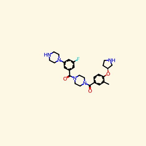 Cc1cc(C(=O)N2CCN(C(=O)c3cc(F)cc(N4CCNCC4)c3)CC2)ccc1O[C@H]1CCNC1